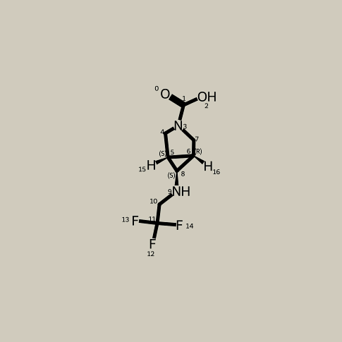 O=C(O)N1C[C@@H]2[C@H](C1)[C@H]2NCC(F)(F)F